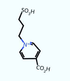 O=C(O)c1cc[n+](CCCS(=O)(=O)O)cc1